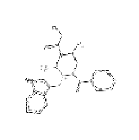 O=C(CCl)N1C(C(F)(F)F)CN(C(=O)c2ccccc2)[C@H](Cc2c[nH]c3ccccc23)C1C(F)(F)F